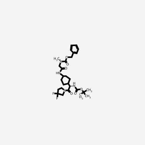 CN(CC(=O)NC1CCC([C@H](NC(=O)OC(C)(C)C)C(=O)N2CCC(F)(F)C2)CC1)C(=O)OCc1ccccc1